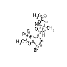 C[C@H](Oc1cc(C(=O)NC(C)(C#N)CS(C)(=O)=O)ncc1Br)C(F)(F)F